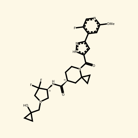 COc1cc(-c2cc(C(=O)N3CC[C@H](C(=O)N[C@H]4CN(CC5(O)CC5)CC4(F)F)CC34CC4)[nH]n2)c(F)cn1